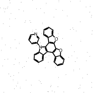 c1cncc(-n2c3ccccc3c3c4c5ccccc5oc4c4oc5ccccc5c4c32)c1